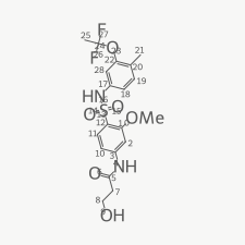 COc1cc(NC(=O)CCO)ccc1S(=O)(=O)Nc1ccc(C)c(OC(C)(F)F)c1